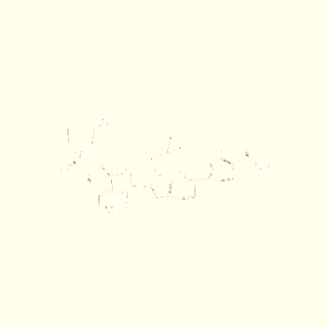 COc1cc(C(=O)N2C[C@H](N)C[C@@H](F)C2)cc2nc(-c3cc4ccc(-c5ccc(C(N)=O)c(Cl)c5)nc4n3CC3CC3)n(C)c12